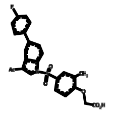 CC(=O)c1cn(S(=O)(=O)c2ccc(OCC(=O)O)c(C)c2)c2ccc(-c3ccc(F)cc3)cc12